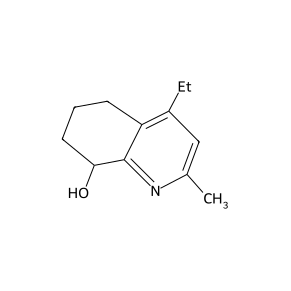 CCc1cc(C)nc2c1CCCC2O